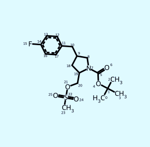 CC(C)(C)OC(=O)N1CC(Cc2ccc(F)cc2)CC1COS(C)(=O)=O